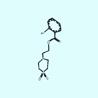 CC(=O)c1ccccc1C(=O)OCCN1CCS(=O)(=O)CC1